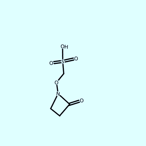 O=C1CCN1OCS(=O)(=O)O